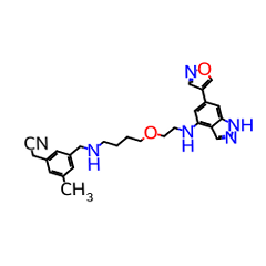 Cc1cc(CC#N)cc(CNCCCCOCCNc2cc(-c3cnoc3)cc3[nH]ncc23)c1